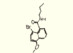 CCCCNC(=O)c1cccc2c(OC)ccc(Br)c12